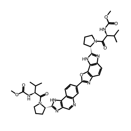 COC(=O)N[C@H](C(=O)N1CCC[C@H]1c1nc2cnc3cc(-c4nc5ccc6nc([C@@H]7CCCN7C(=O)[C@@H](NC(=O)OC)C(C)C)[nH]c6c5o4)ccc3c2[nH]1)C(C)C